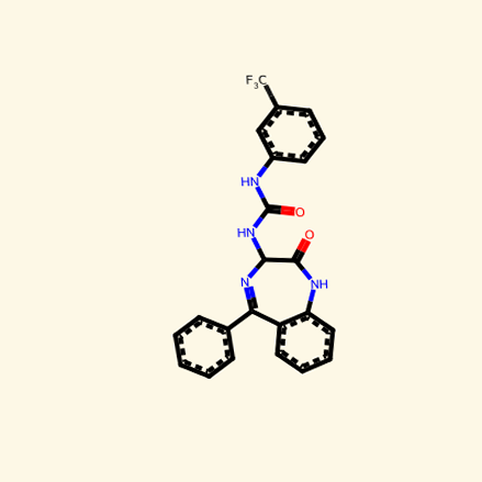 O=C(Nc1cccc(C(F)(F)F)c1)NC1N=C(c2ccccc2)c2ccccc2NC1=O